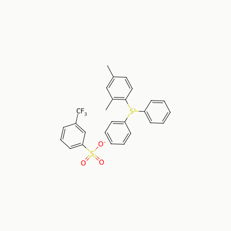 Cc1ccc([S+](c2ccccc2)c2ccccc2)c(C)c1.O=S(=O)([O-])c1cccc(C(F)(F)F)c1